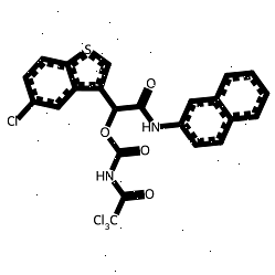 O=C(NC(=O)C(Cl)(Cl)Cl)OC(C(=O)Nc1ccc2ccccc2c1)c1csc2ccc(Cl)cc12